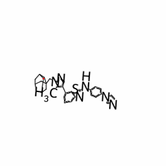 Cc1c(-c2cccc3nc(Nc4ccc(-n5ccnc5)cc4)sc23)cnn1CC12CC3CC(CC(C3)C1)C2